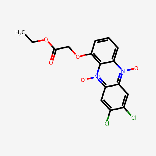 CCOC(=O)COc1cccc2c1[n+]([O-])c1cc(Cl)c(Cl)cc1[n+]2[O-]